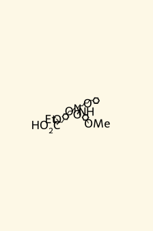 CCOC(Cc1ccc(OCCN(CCCOCc2ccccc2)C(=O)Nc2ccc(OC)cc2)cc1)C(=O)O